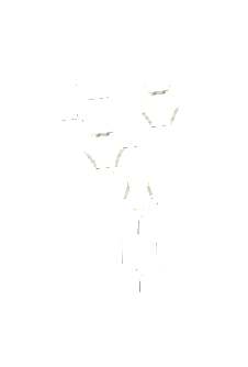 CC1CCc2c(ccc(-c3cnn(C4CCN(C)CC4)c3)c2Oc2ccc(F)cc2)N1C